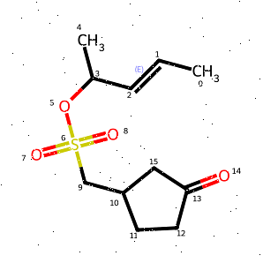 C/C=C/C(C)OS(=O)(=O)CC1CCC(=O)C1